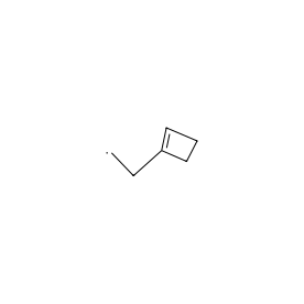 [CH2]CC1=CCC1